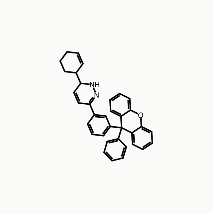 C1=CC(C2C=CC(c3cccc(C4(c5ccccc5)c5ccccc5Oc5ccccc54)c3)=NN2)CCC1